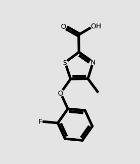 Cc1nc(C(=O)O)sc1Oc1ccccc1F